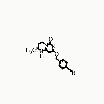 C[C@@H]1CCn2c(cc(OCc3ccc(C#N)cc3)nc2=O)N1